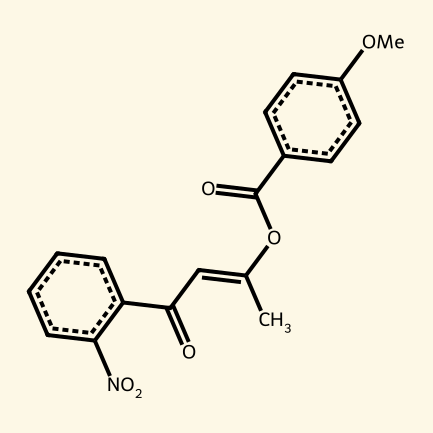 COc1ccc(C(=O)OC(C)=CC(=O)c2ccccc2[N+](=O)[O-])cc1